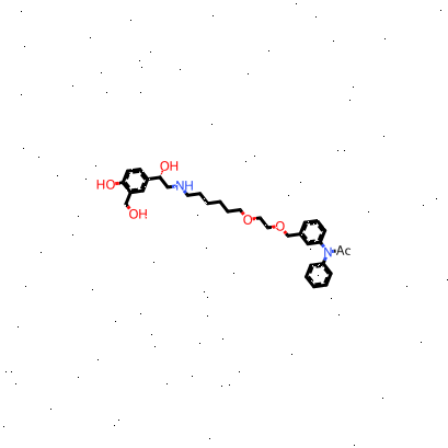 CC(=O)N(c1ccccc1)c1cccc(COCCOCCCCCCNC[C@@H](O)c2ccc(O)c(CO)c2)c1